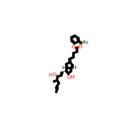 CC#CCC(C)[C@H](O)/C=C/[C@@H]1[C@H]2C/C(=C/CCCC(=O)O[C@H](C(C)=O)c3ccccc3)C[C@H]2C[C@H]1O